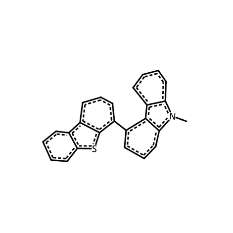 Cn1c2ccccc2c2c(-c3cccc4c3sc3ccccc34)cccc21